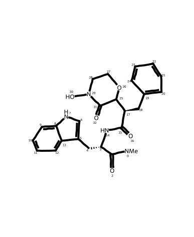 CNC(=O)[C@H](Cc1c[nH]c2ccccc12)NC(=O)[C@H](Cc1ccccc1)C1OCCN(O)C1=O